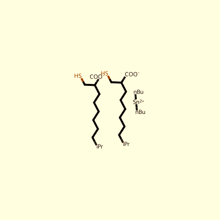 CC(C)CCCCCCC(CS)C(=O)[O-].CC(C)CCCCCCC(CS)C(=O)[O-].CCC[CH2][Sn+2][CH2]CCC